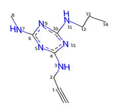 C#CCNc1nc(NC)nc(NCCC)n1